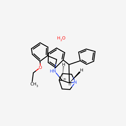 CCOc1ccccc1CN[C@@H]1C2CCN(CC2)[C@H]1C(c1ccccc1)c1ccccc1.O